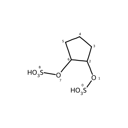 O=S(=O)(O)OC1CCCC1OS(=O)(=O)O